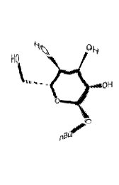 CCCCO[C@H]1O[C@H](CO)[C@@H](O)[C@@H](O)[C@H]1O